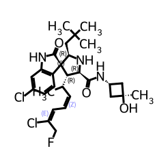 CC(/C=C\C=C(\Cl)CF)[C@H]1[C@H](C(=O)N[C@H]2C[C@](C)(O)C2)N[C@H](CC(C)(C)C)[C@]12C(=O)Nc1cc(Cl)ccc12